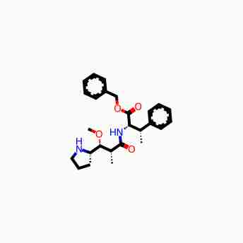 CO[C@@H]([C@@H]1CCCN1)[C@@H](C)C(=O)N[C@H](C(=O)OCc1ccccc1)[C@@H](C)c1ccccc1